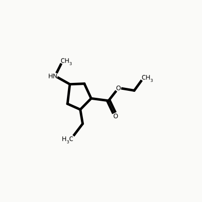 CCOC(=O)C1CC(NC)CC1CC